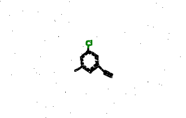 C#Cc1cc(C)cc(Cl)c1